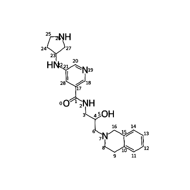 O=C(NCC(O)CN1CCc2ccccc2C1)c1cncc(NC2CCNC2)c1